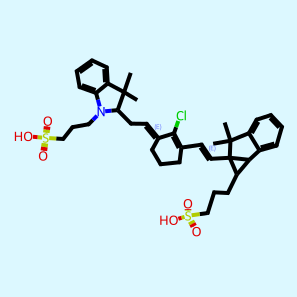 CC1(C)c2ccccc2N(CCCS(=O)(=O)O)C1C/C=C1\CCCC(/C=C/C23C(CCCS(=O)(=O)O)C2c2ccccc2C3(C)C)=C1Cl